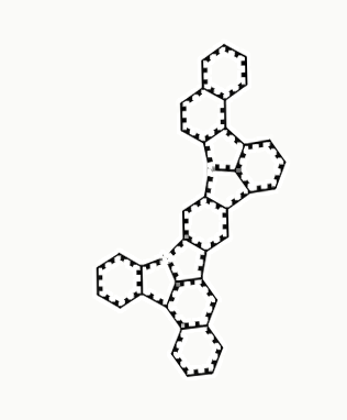 c1ccc2c(c1)ccc1c2c2cccc3c4cc5c6cc7ccccc7c7c8ccccc8n(c5cc4n1c32)c67